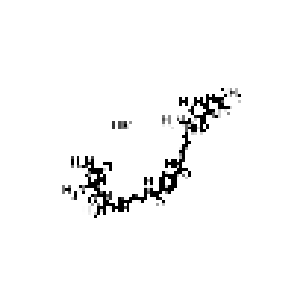 Br.NC(=NC(=O)c1nc(Cl)c(N)nc1N)NCCCCNC(=O)c1ccc(C(=O)NCCCCNC(N)=NC(=O)c2nc(Cl)c(N)nc2N)cc1